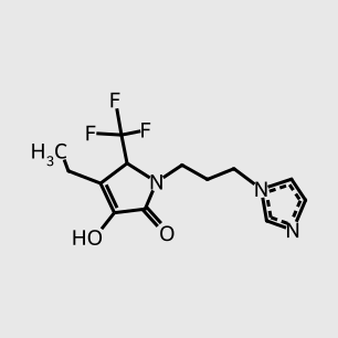 CCC1=C(O)C(=O)N(CCCn2ccnc2)C1C(F)(F)F